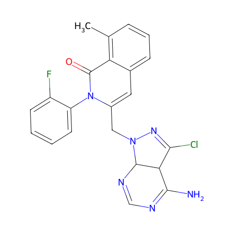 Cc1cccc2cc(CN3N=C(Cl)C4C(N)=NC=NC43)n(-c3ccccc3F)c(=O)c12